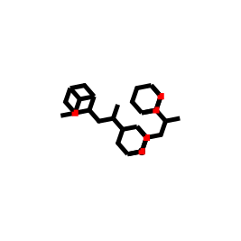 CCC1C2CCC(CC(C)C3CC4CCC3C(CC(C)C3CC5CCC3CC5)O4)C1C2